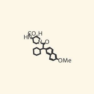 COc1ccc2cc(C(C(=O)N3CCC(NC(=O)O)CC3)C3CCCCC3)ccc2c1